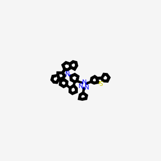 c1ccc(-c2nc(-c3ccc4c(c3)sc3ccccc34)nc(-c3ccc(-n4c5cc6ccccc6cc5c5ccc6ccccc6c54)cc3-c3ccccc3-c3ccccc3)n2)cc1